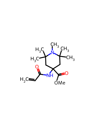 C=CC(=O)NC1(C(=O)OC)CC(C)(C)N(C)C(C)(C)C1